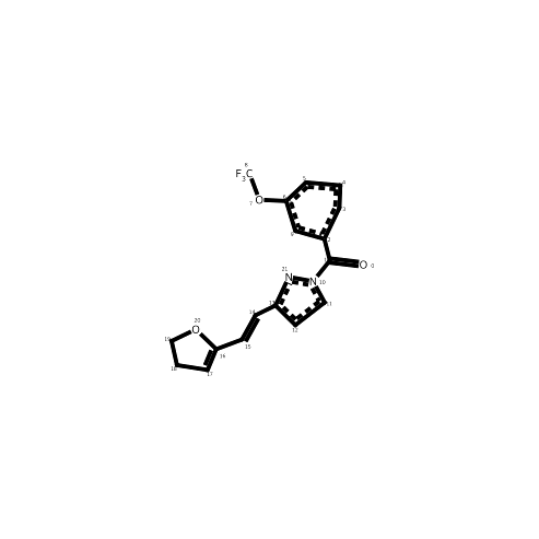 O=C(c1cccc(OC(F)(F)F)c1)n1ccc(/C=C/C2=CCCO2)n1